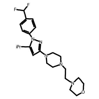 CC(C)c1cc(N2CCN(CCN3CCOCC3)CC2)nn1-c1ccc(C(F)F)cc1